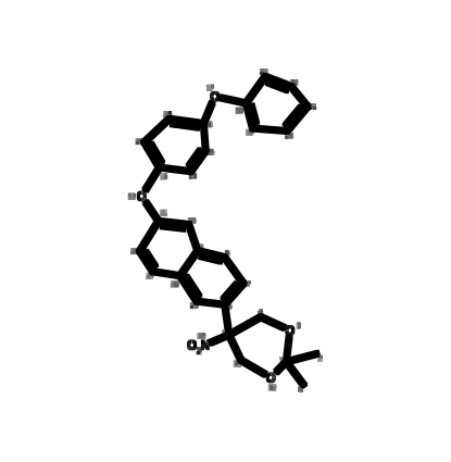 CC1(C)OCC(c2ccc3cc(Oc4ccc(Oc5ccccc5)cc4)ccc3c2)([N+](=O)[O-])CO1